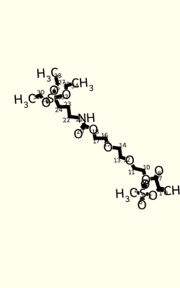 C=C(OS(C)(=O)=O)C(=O)OCCOCCOCCOC(=O)NCCC[Si](OCC)(OCC)OCC